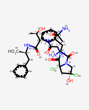 C[C@@H](O)[C@H](NC(=O)[C@H](CC(N)=O)NC(=O)[C@]1(Cl)C[C@](O)(Cl)CN1C(=O)[C@@H](N)Cc1ccccc1)C(=O)N[C@@H](Cc1ccccc1)C(=O)O